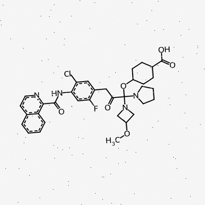 COC1CN(C(OC2CCC(C(=O)O)CC2)(C(=O)Cc2cc(Cl)c(NC(=O)c3nccc4ccccc34)cc2F)N2CCCC2)C1